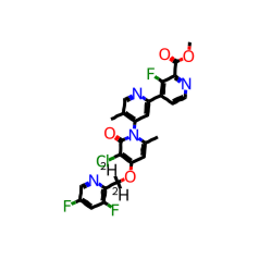 [2H]C([2H])(Oc1cc(C)n(-c2cc(-c3ccnc(C(=O)OC)c3F)ncc2C)c(=O)c1Cl)c1ncc(F)cc1F